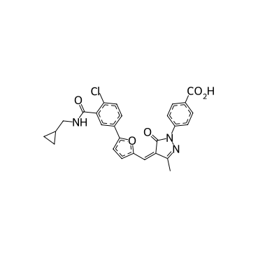 CC1=NN(c2ccc(C(=O)O)cc2)C(=O)/C1=C\c1ccc(-c2ccc(Cl)c(C(=O)NCC3CC3)c2)o1